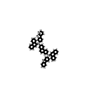 c1ccc2c(c1)cc(N(c1ccc3c(ccc4cc(N(c5ccc6c(c5)sc5ncccc56)c5cc6ccccc6c6ccccc56)ccc43)c1)c1ccc3c(c1)sc1ccccc13)c1ccccc12